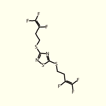 FC(F)=C(F)CCSc1nsc(SCCC(F)=C(F)F)n1